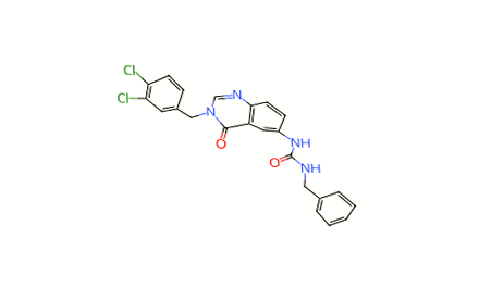 O=C(NCc1ccccc1)Nc1ccc2ncn(Cc3ccc(Cl)c(Cl)c3)c(=O)c2c1